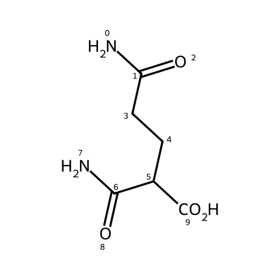 NC(=O)CCC(C(N)=O)C(=O)O